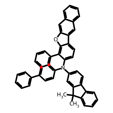 CC1(C)c2ccccc2-c2ccc(N(c3ccc(-c4ccccc4)cc3)c3ccc4c(oc5cc6ccccc6cc54)c3-c3ccccc3)cc21